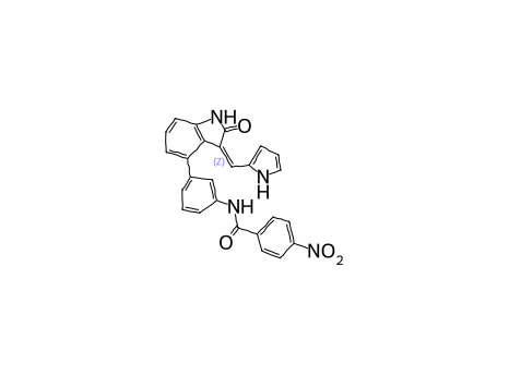 O=C1Nc2cccc(-c3cccc(NC(=O)c4ccc([N+](=O)[O-])cc4)c3)c2/C1=C/c1ccc[nH]1